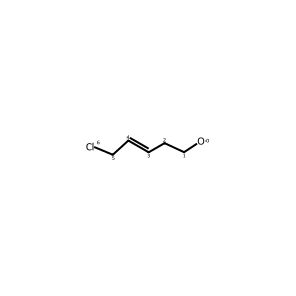 [O]CC/C=C/CCl